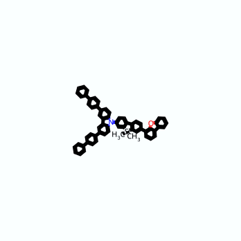 C[Si]1(C)c2cc(-c3cccc4c3oc3ccccc34)ccc2-c2ccc(-n3c4ccc(-c5ccc(-c6ccccc6)cc5)cc4c4cc(-c5ccc(-c6ccccc6)cc5)ccc43)cc21